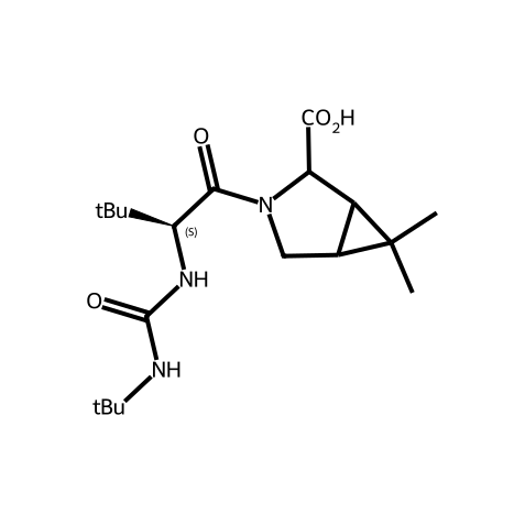 CC(C)(C)NC(=O)N[C@H](C(=O)N1CC2C(C1C(=O)O)C2(C)C)C(C)(C)C